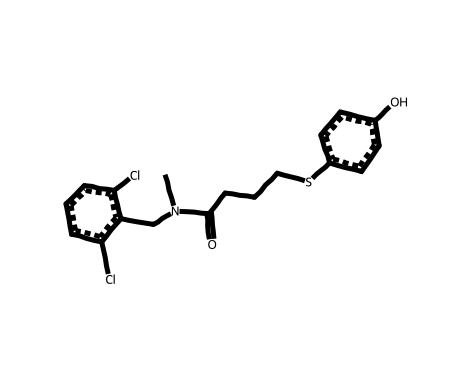 CN(Cc1c(Cl)cccc1Cl)C(=O)CCCSc1ccc(O)cc1